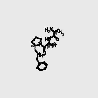 CC(C)[C@H](NC(=O)[C@H](C)N)C(=O)N1CCC[C@H]1CNCc1ccccc1